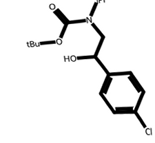 CC(C)N(CC(O)c1ccc(Cl)cc1)C(=O)OC(C)(C)C